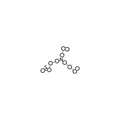 c1cc(-c2ccc(N(c3ccc(-c4ccc(-c5cccc6ccccc56)cc4)cc3)c3ccc(-c4cccc5ccccc45)cc3)cc2)cc(-c2cccc3c2sc2ccccc23)c1